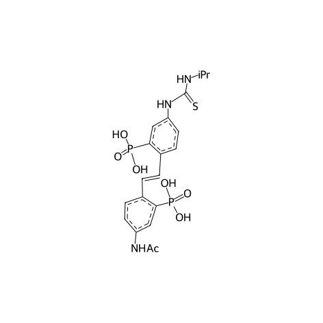 CC(=O)Nc1ccc(/C=C/c2ccc(NC(=S)NC(C)C)cc2P(=O)(O)O)c(P(=O)(O)O)c1